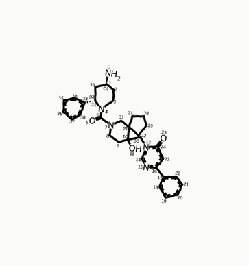 N[C@H]1CCN(C(=O)N2CCC(O)(Cn3cnc(-c4ccccc4)cc3=O)C3(CCCC3)C2)[C@H](c2ccccc2)C1